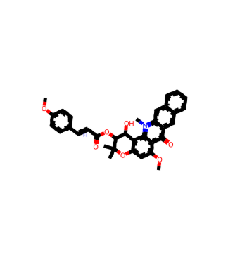 COc1ccc(/C=C/C(=O)OC2C(O)c3c(cc(OC)c4c(=O)c5cc6ccccc6cc5n(C)c34)OC2(C)C)cc1